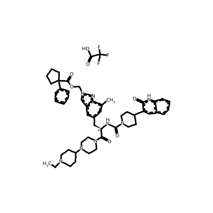 CCN1CCC(N2CCN(C(=O)[C@@H](Cc3cc(C)c4nn(COC(=O)C5(c6ccccc6)CCCC5)cc4c3)NC(=O)N3CCC(c4cc5ccccc5[nH]c4=O)CC3)CC2)CC1.O=C(O)C(F)(F)F